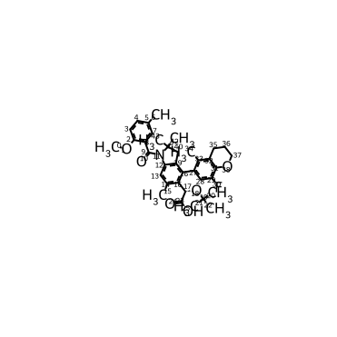 COc1ccc(C)cc1C(=O)N1c2cc(C)c([C@H](OC(C)(C)C)C(=O)O)c(-c3cc(F)c4c(c3C)CCCO4)c2CC1(C)C